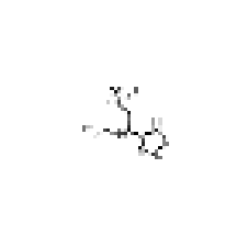 O=S(=O)(O)NCC(NS(=O)(=O)O)c1nnn[nH]1